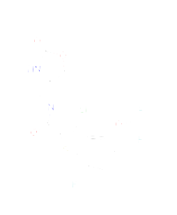 O=C1NC2(CO1)CN(C(=O)c1sc3c(F)ccc(OC(F)F)c3c1Cl)C2